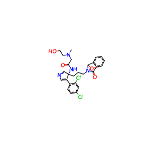 CN(CCO)CC(=O)NC1(CCCN2C(=O)c3c4cccc3C2O4)C=NC=C1c1ccc(Cl)cc1Cl